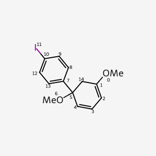 COC1=CC=CC(OC)(c2ccc(I)cc2)C1